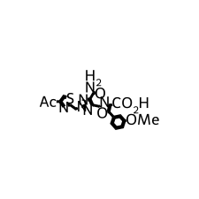 COc1cccc(-c2oc(-c3nn(Cc4nc(C(C)=O)cs4)nc3C(N)=O)nc2C(=O)O)c1